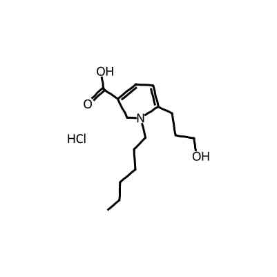 CCCCCCN1CC(C(=O)O)=CC=C1CCCO.Cl